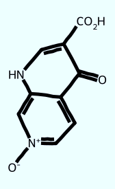 O=C(O)c1c[nH]c2c[n+]([O-])ccc2c1=O